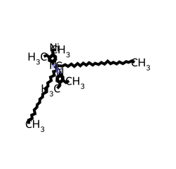 CCCCCCCCCCCCCCCCCCCCCCCCCCC(=N\c1ccc(CC)c(CC)c1)/C(CCCCCCCCCCCCCCCCCCCC)=N/c1ccc(CC)c(CC)c1.[Ni]